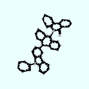 O=c1c2ccccc2c2ccccc2n1-c1c2ccccc2c(-c2ccc3c(c2)c2ccccc2n3-c2ccccc2)c2ccccc12